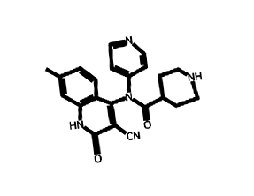 Cc1ccc2c(N(C(=O)C3CCNCC3)c3ccncc3)c(C#N)c(=O)[nH]c2c1